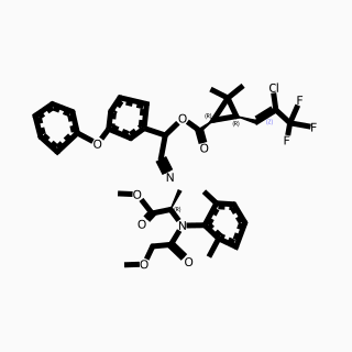 CC1(C)[C@H](C(=O)OC(C#N)c2cccc(Oc3ccccc3)c2)[C@@H]1/C=C(\Cl)C(F)(F)F.COCC(=O)N(c1c(C)cccc1C)[C@H](C)C(=O)OC